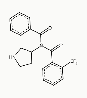 O=C(c1ccccc1)N(C(=O)c1ccccc1C(F)(F)F)C1CCNC1